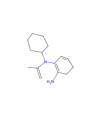 C=C(C)N(C1=C(N)CCC=C1)C1CCCCC1